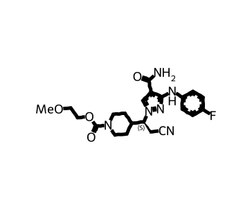 COCCOC(=O)N1CCC([C@H](CC#N)n2cc(C(N)=O)c(Nc3ccc(F)cc3)n2)CC1